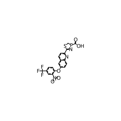 O=C(O)P1CSC(c2ccc3cc(Oc4ccc(C(F)(F)F)cc4[N+](=O)[O-])ccc3n2)=N1